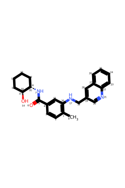 Cc1ccc(C(=O)N[C@H]2CCCC[C@@H]2O)cc1NCc1cnc2ccccc2c1